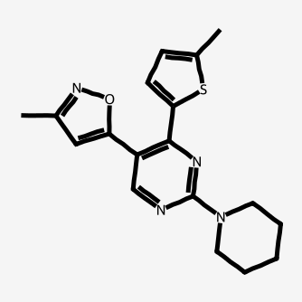 Cc1cc(-c2cnc(N3CCCCC3)nc2-c2ccc(C)s2)on1